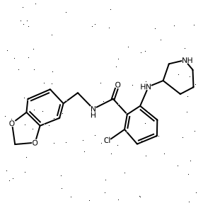 O=C(NCc1ccc2c(c1)OCO2)c1c(Cl)cccc1NC1CCCNC1